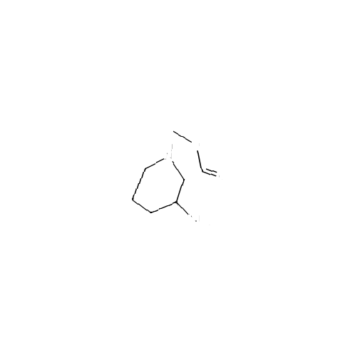 COC=O.NC1CCCNC1